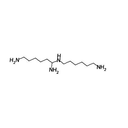 NCCCCCCNC(N)CCCCCN